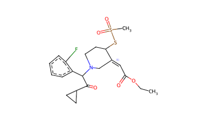 CCOC(=O)/C=C1\CN(C(C(=O)C2CC2)c2ccccc2F)CCC1SS(C)(=O)=O